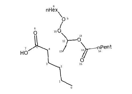 CCCCCC(=O)O.CCCCCCOOC(C)OC(=O)CCCCC